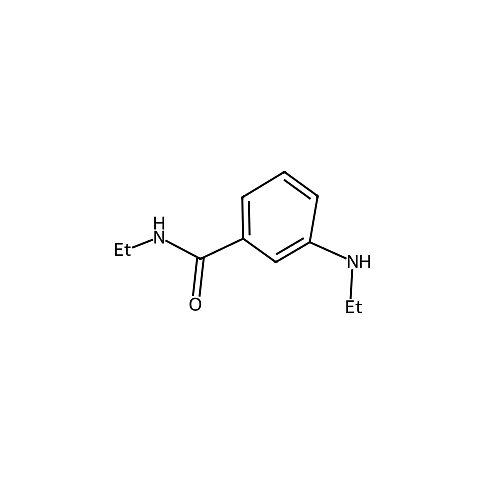 CCNC(=O)c1cccc(NCC)c1